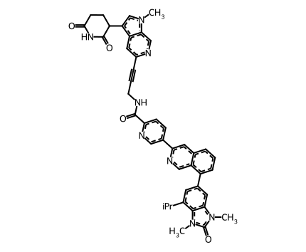 CC(C)c1cc(-c2cccc3cc(-c4ccc(C(=O)NCC#Cc5cc6c(C7CCC(=O)NC7=O)cn(C)c6cn5)nc4)ncc23)cc2c1n(C)c(=O)n2C